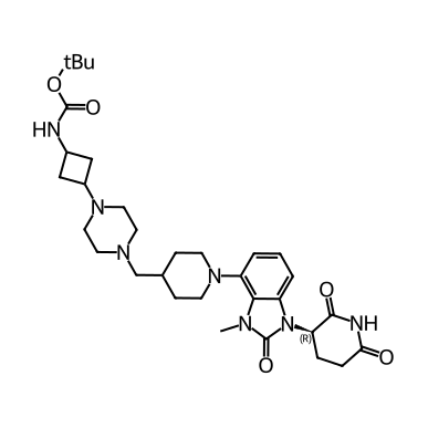 Cn1c(=O)n([C@@H]2CCC(=O)NC2=O)c2cccc(N3CCC(CN4CCN(C5CC(NC(=O)OC(C)(C)C)C5)CC4)CC3)c21